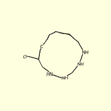 ClC1CCCCCNNCNNC1